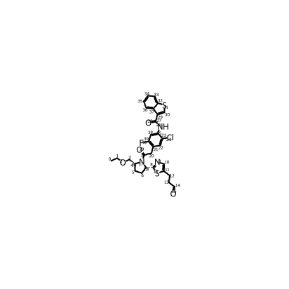 CCOC[C@@H]1CC[C@@H](c2ncc(CCC=O)s2)N1C(=O)Cc1cc(Cl)c(NC(=O)c2csc3ccccc23)cc1F